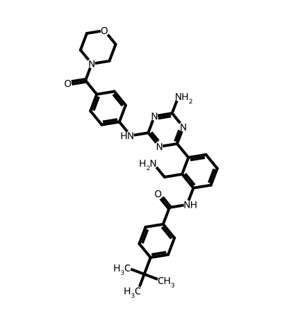 CC(C)(C)c1ccc(C(=O)Nc2cccc(-c3nc(N)nc(Nc4ccc(C(=O)N5CCOCC5)cc4)n3)c2CN)cc1